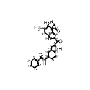 CC1=C2NCC3C(=O)C23C2=CC(C(=O)c3cc4cc(NC(=O)c5ccccc5)ccc4[nH]3)NC2C1